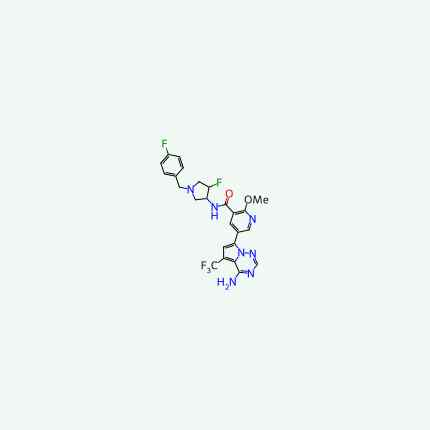 COc1ncc(-c2cc(C(F)(F)F)c3c(N)ncnn23)cc1C(=O)NC1CN(Cc2ccc(F)cc2)CC1F